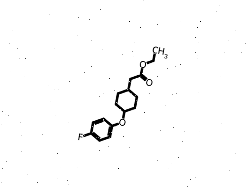 CCOC(=O)CC1CCC(Oc2ccc(F)cc2)CC1